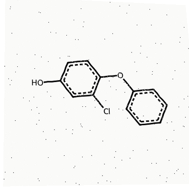 Oc1ccc(Oc2ccccc2)c(Cl)c1